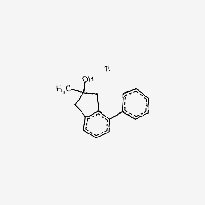 CC1(O)Cc2cccc(-c3ccccc3)c2C1.[Ti]